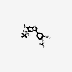 COc1cc2ncc(-c3ccc(OC(F)F)c(N)c3)n2cc1S(=O)(=O)C(C)(C)C